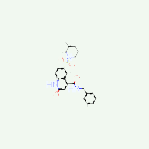 CC1CCCN(S(=O)(=O)c2ccc3[nH]c(=O)cc(C(=O)NCc4ccccc4)c3c2)C1